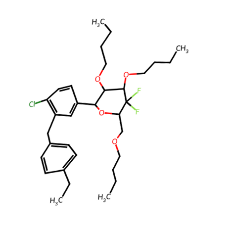 CCCCOCC1OC(c2ccc(Cl)c(Cc3ccc(CC)cc3)c2)C(OCCCC)C(OCCCC)C1(F)F